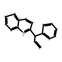 C=C[C](c1ccccc1)c1ccc2ccccc2n1